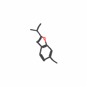 Cc1ccc2cc(C(C)C)oc2c1